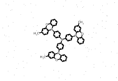 Cc1ccc2c(c1)Oc1ccccc1N2c1ccc(N(c2ccc(N3c4ccccc4Oc4cc(C)ccc43)cc2)c2ccc(N3c4ccccc4Oc4cc(C)ccc43)cc2)cc1